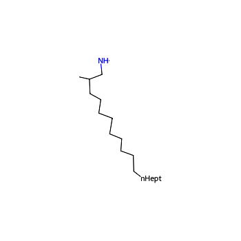 CCCCCCCCCCCCCCCCC(C)C[NH]